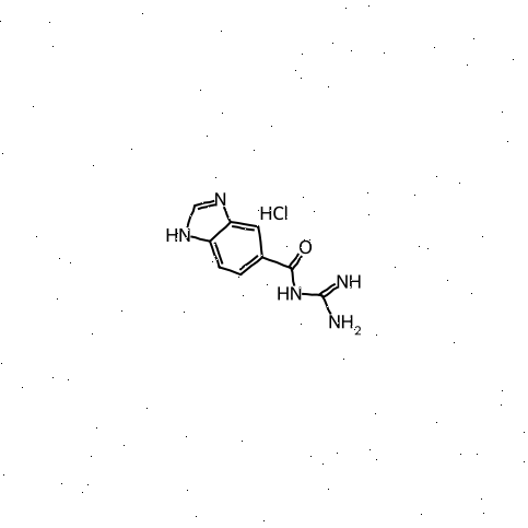 Cl.N=C(N)NC(=O)c1ccc2[nH]cnc2c1